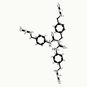 O=C=NCc1ccc(CN(C(=O)Nc2ccc(CN=C=O)cc2)C(=O)Nc2ccc(CN=C=O)cc2)cc1